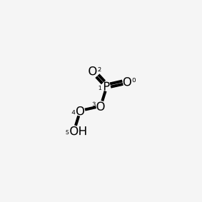 O=P(=O)OOO